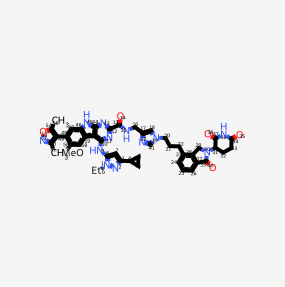 CCn1nc(C2CC2)cc1Nc1nc(C(=O)NCc2cn(CCCc3cccc4c3CN(C3CCC(=O)NC3=O)C4=O)cn2)nc2[nH]c3cc(-c4c(C)noc4C)c(OC)cc3c12